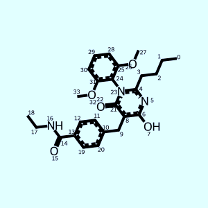 CCCCc1nc(O)c(Cc2ccc(C(=O)NCC)cc2)c(=O)n1-c1c(OC)cccc1OC